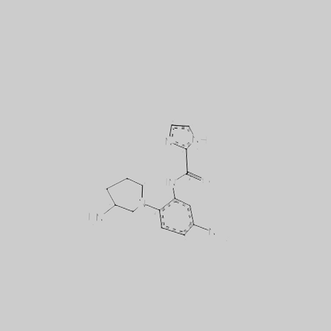 Nc1ccc(N2CCCC(N)C2)c(NC(=O)c2ncc[nH]2)c1